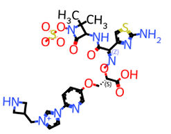 CC1(C)C(NC(=O)/C(=N\O[C@@H](COc2ccc(-n3cc[n+](CC4CNC4)c3)nc2)C(=O)O)c2csc(N)n2)C(=O)N1OS(=O)(=O)[O-]